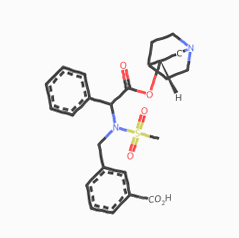 CS(=O)(=O)N(Cc1cccc(C(=O)O)c1)C(C(=O)O[C@H]1CN2CCC1CC2)c1ccccc1